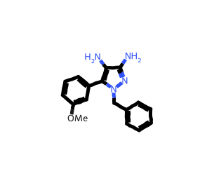 COc1cccc(-c2c(N)c(N)nn2Cc2ccccc2)c1